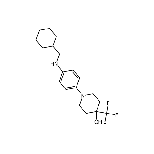 OC1(C(F)(F)F)CCN(c2ccc(NCC3CCCCC3)cc2)CC1